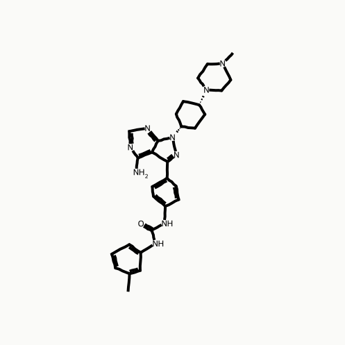 Cc1cccc(NC(=O)Nc2ccc(-c3nn([C@H]4CC[C@@H](N5CCN(C)CC5)CC4)c4ncnc(N)c34)cc2)c1